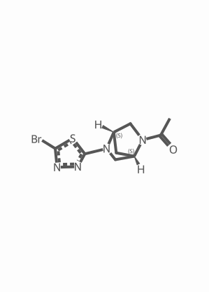 CC(=O)N1C[C@@H]2C[C@H]1CN2c1nnc(Br)s1